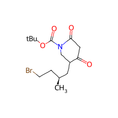 C[C@@H](CCBr)CC1CN(C(=O)OC(C)(C)C)C(=O)CC1=O